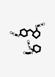 O=C=NC1(N=C=O)CCCCC1.O=C=NC1CCC(CC2CCCCC2N=C=O)CC1